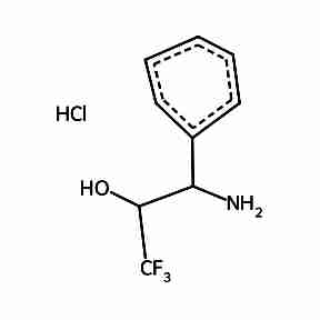 Cl.NC(c1ccccc1)C(O)C(F)(F)F